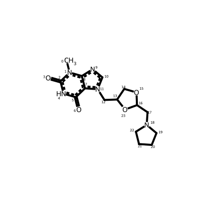 Cn1c(=O)[nH]c(=O)c2c1ncn2CC1COC(CN2CCCC2)O1